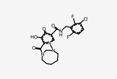 O=C(NCc1c(F)ccc(Cl)c1F)c1cn2c(c(O)c1=O)C(=O)N1CCCCCN2C1